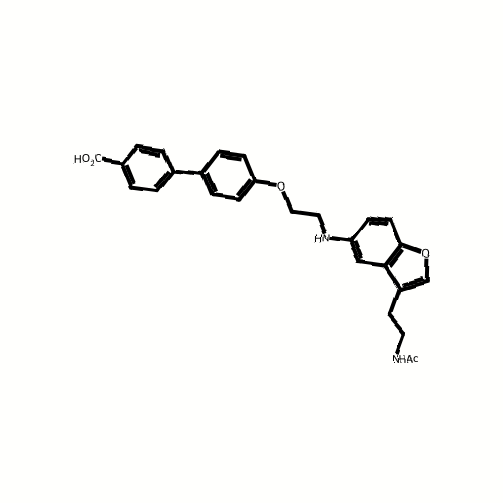 CC(=O)NCCc1coc2ccc(NCCOc3ccc(-c4ccc(C(=O)O)cc4)cc3)cc12